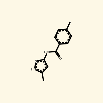 Cc1ccc(C(=O)Nc2cc(C)[nH]n2)cc1